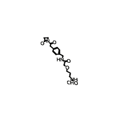 O=CNCCCOCC(=O)NCc1ccc(CC(=O)N2CCC2=O)cc1